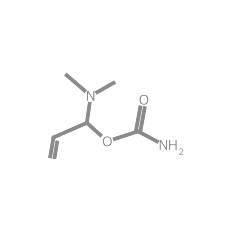 C=CC(OC(N)=O)N(C)C